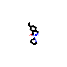 C=Cc1ccc2cnn(-c3ccccn3)c(=O)c2c1